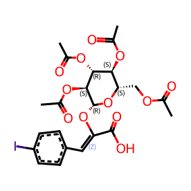 CC(=O)OC[C@@H]1O[C@H](O/C(=C\c2ccc(I)cc2)C(=O)O)[C@@H](OC(C)=O)[C@H](OC(C)=O)[C@H]1OC(C)=O